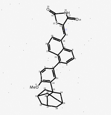 COc1ccc(-c2cccc3c(/C=C4\SC(=O)NC4=O)cccc23)cc1C12CC3CC(CC(C3)C1)C2